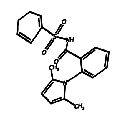 Cc1ccc(C)n1-c1ccccc1C(=O)NS(=O)(=O)C1=CCCC=C1